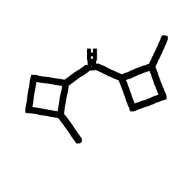 CC1CCC1BC1CCC1C